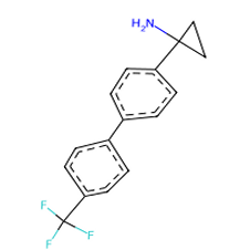 NC1(c2ccc(-c3ccc(C(F)(F)F)cc3)cc2)CC1